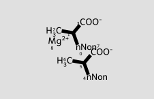 CCCCCCCCCC(C)C(=O)[O-].CCCCCCCCCC(C)C(=O)[O-].[Mg+2]